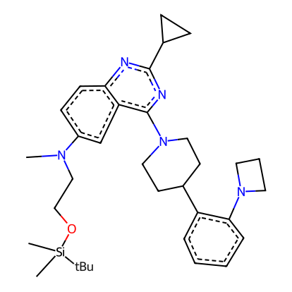 CN(CCO[Si](C)(C)C(C)(C)C)c1ccc2nc(C3CC3)nc(N3CCC(c4ccccc4N4CCC4)CC3)c2c1